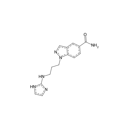 NC(=O)c1ccc2c(cnn2CCCNc2ncc[nH]2)c1